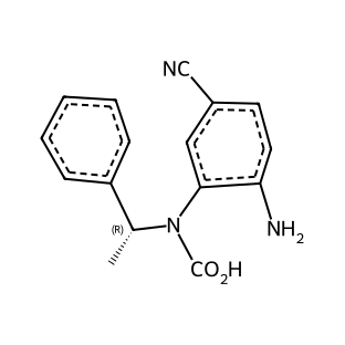 C[C@H](c1ccccc1)N(C(=O)O)c1cc(C#N)ccc1N